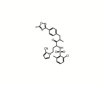 Cc1nc(-c2ccc(CN(C)C(=O)C(CCn3cccc3C#N)NS(=O)(=O)c3c(C)cccc3Cl)cc2)no1